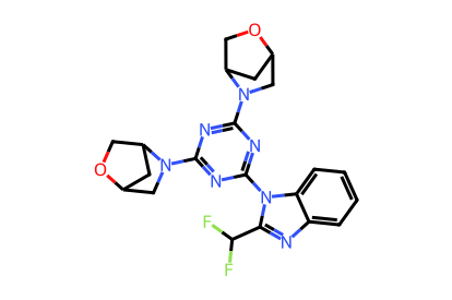 FC(F)c1nc2ccccc2n1-c1nc(N2CC3CC2CO3)nc(N2CC3CC2CO3)n1